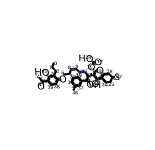 CCCc1c(OCC/C=C\C=C\[C@@H](c2c(OC(=O)O)oc3c(c2=O)=CCC(=S)C=3)[C@@H](O)c2cccc(C)c2)ccc(C(C)=O)c1O